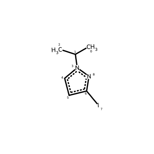 CC(C)n1ccc(I)n1